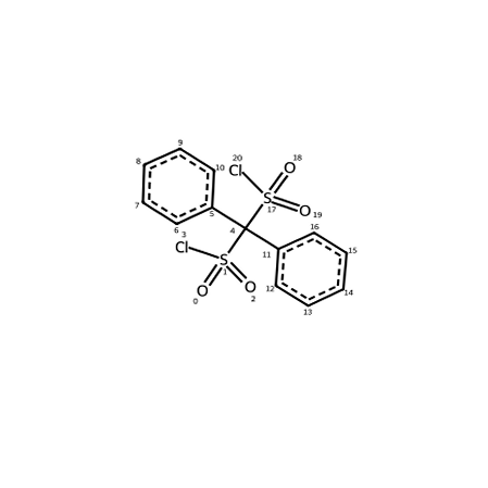 O=S(=O)(Cl)C(c1ccccc1)(c1ccccc1)S(=O)(=O)Cl